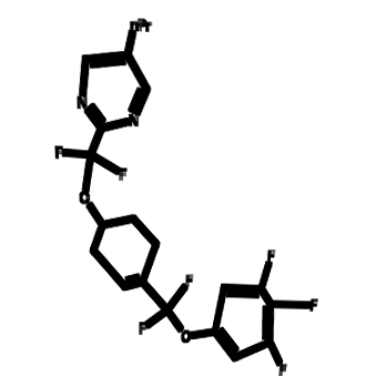 CCCc1cnc(C(F)(F)OC2CC=C(C(F)(F)Oc3cc(F)c(F)c(F)c3)CC2)nc1